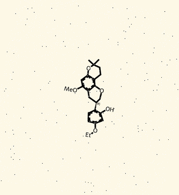 CCOc1ccc([C@@H]2COc3c(c(OC)cc4c3CCC(C)(C)O4)C2)c(O)c1